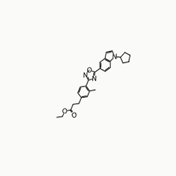 CCOC(=O)CCc1ccc(-c2noc(-c3ccc4c(ccn4C4CCCC4)c3)n2)c(C)c1